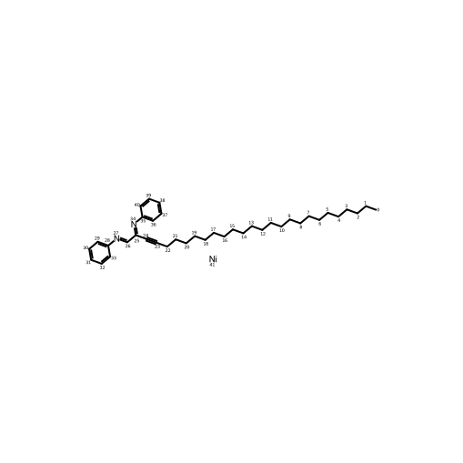 CCCCCCCCCCCCCCCCCCCCCCCC#CC(C=Nc1ccccc1)=Nc1ccccc1.[Ni]